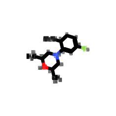 CNC1CC=C(F)C=C1N1CC(C)OC(C)C1